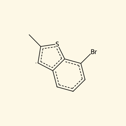 Cc1[c]c2cccc(Br)c2s1